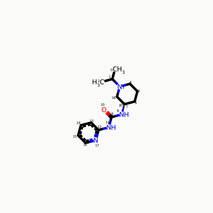 CC(C)N1CCC[C@@H](NC(=O)Nc2ccccn2)C1